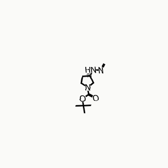 C=NN[C@@H]1CCN(C(=O)OC(C)(C)C)C1